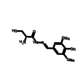 COc1cc(C=NNC(=O)[C@@H](N)CO)cc(OC)c1O